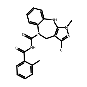 Cc1ccccc1C(=O)NC(=O)N1Cc2c(Cl)nn(C)c2Nc2ccccc21